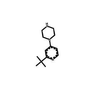 CC(C)(C)c1cc(N2CCNCC2)ccn1